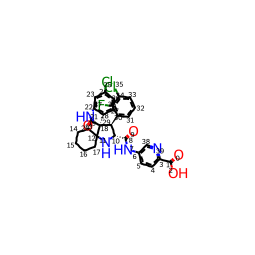 O=C(O)c1ccc(NC(=O)[C@@H]2NC3(CCCCC3)[C@@]3(C(=O)Nc4cc(Cl)ccc43)[C@H]2c2cccc(Cl)c2F)cn1